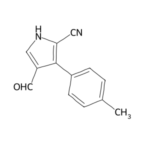 Cc1ccc(-c2c(C=O)c[nH]c2C#N)cc1